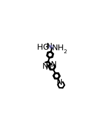 N/C(=N/O)c1ccc(-c2cnn3cc(-c4ccc(N5CCCCC5)cc4)cnc23)cc1